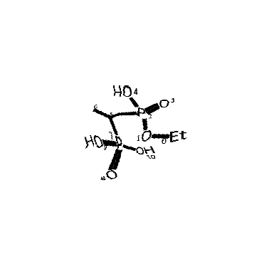 CCOP(=O)(O)C(C)P(=O)(O)O